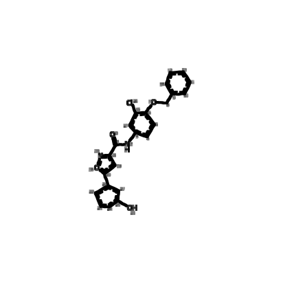 O=C(Nc1ccc(OCc2ccccc2)c(Cl)c1)c1cc(-c2cccc(O)c2)on1